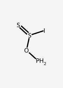 POS(=S)I